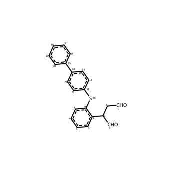 O=CCC(C=O)c1ccccc1Sc1ccc(-c2ccccc2)cc1